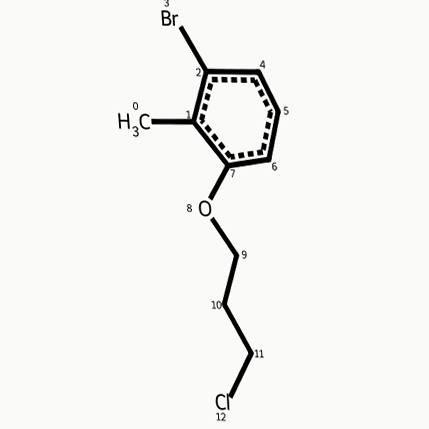 Cc1c(Br)cccc1OCCCCl